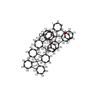 c1ccc(-c2ccccc2C2(c3ccccc3-c3ccccc3)c3ccccc3-c3ccc(N(c4cccc5c4-c4ccccc4C54c5ccccc5-c5ccccc54)c4cccc5oc6ccccc6c45)cc32)cc1